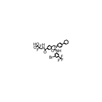 O=C(NCC(F)(F)C(=O)O)c1ccc(CN(C(=O)Nc2cc(Br)cc(C(F)(F)F)c2)c2ccc(C3=CCCCC3)cc2)cc1